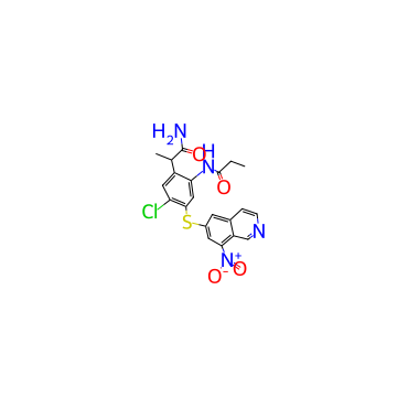 CCC(=O)Nc1cc(Sc2cc([N+](=O)[O-])c3cnccc3c2)c(Cl)cc1C(C)C(N)=O